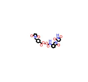 O=C1CCC(N2Cc3c(NC(=O)OCOC(=O)C4CCC(CN5C(=O)C=CC5=O)CC4)cccc3C2=O)C(=O)N1